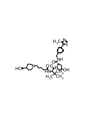 C#CC1CCN(CCCCC(=O)NC(C(=O)N2C[C@H](O)C[C@H]2C(=O)NCc2ccc(-c3scnc3C)cc2)C(C)(C)C)CC1